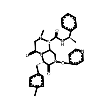 Cc1ccc(C[C@H]2C(=O)N(Cc3ccncc3)CC3N2C(=O)CN(C)N3C(=O)N[C@H](C)c2ccccc2)cc1